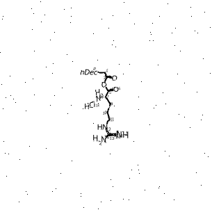 CCCCCCCCCCCC(=O)OC(=O)[C@@H](N)CCCNC(=N)N.Cl